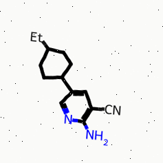 CCC1CCC(c2cnc(N)c(C#N)c2)CC1